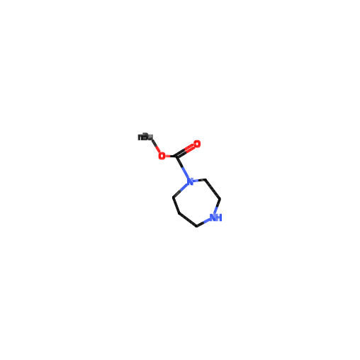 CCCCOC(=O)N1CCCNCC1